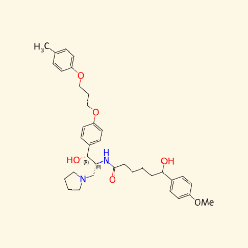 COc1ccc(C(O)CCCCC(=O)N[C@H](CN2CCCC2)[C@H](O)c2ccc(OCCCOc3ccc(C)cc3)cc2)cc1